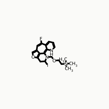 C[Si](C)(C)CCOCN1C2=C3NC=CC=C3C(F)=Cc3coc(c32)CC1I